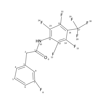 O=C(Cc1cccc(F)c1)Nc1c(F)c(F)c(C(F)(F)F)c(F)c1F